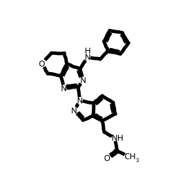 CC(=O)NCc1cccc2c1cnn2-c1nc2c(c(NCc3ccccc3)n1)CCOC2